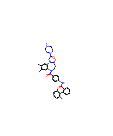 Cc1cc2c(cc1C)N(C(=O)c1ccc(NC(=O)c3ccccc3-c3c(C)cccc3C)cc1)CCC(=O)N2CC(=O)N1CCN(C)CC1